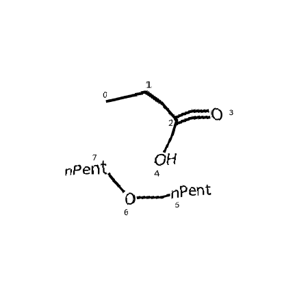 CCC(=O)O.CCCCCOCCCCC